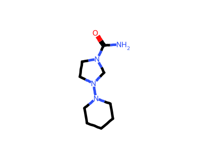 NC(=O)N1CCN(N2CCCCC2)C1